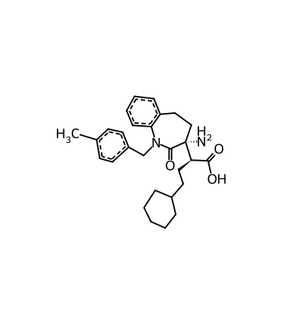 Cc1ccc(CN2C(=O)[C@](N)([C@H](CCC3CCCCC3)C(=O)O)CCc3ccccc32)cc1